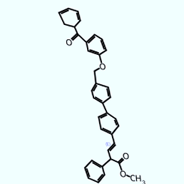 COC(=O)C(/C=C/c1ccc(-c2ccc(COc3cccc(C(=O)C4C=CC=CC4)c3)cc2)cc1)c1ccccc1